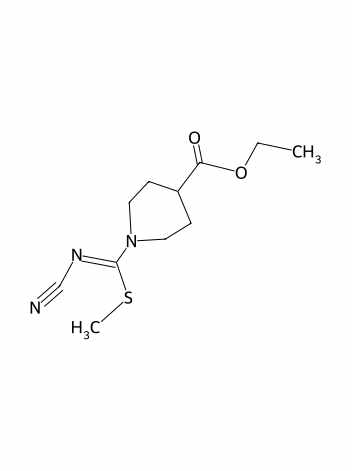 CCOC(=O)C1CCN(C(=NC#N)SC)CC1